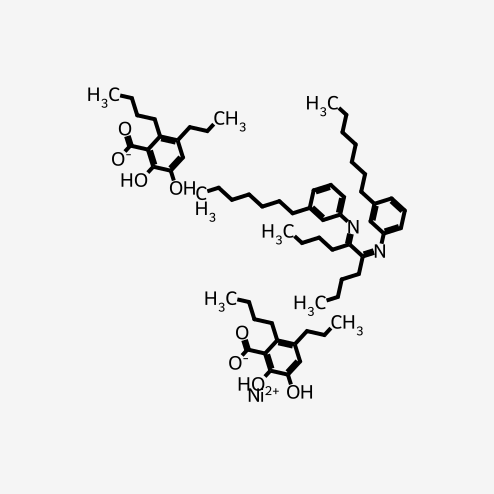 CCCCCCCc1cccc(N=C(CCCC)C(CCCC)=Nc2cccc(CCCCCCC)c2)c1.CCCCc1c(CCC)cc(O)c(O)c1C(=O)[O-].CCCCc1c(CCC)cc(O)c(O)c1C(=O)[O-].[Ni+2]